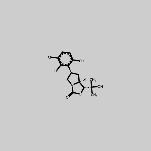 CC(C)(O)[C@@H]1OC(=O)N2C[C@@H](c3c(O)ccc(Cl)c3Cl)C[C@@H]12